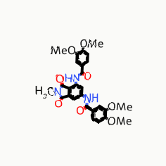 COc1ccc(C(=O)Nc2cc(NC(=O)c3ccc(OC)c(OC)c3)c3c(c2)C(=O)N(C)C3=O)cc1OC